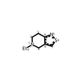 CCN1CCc2nscc2C1